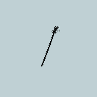 CCCCCCCCC=CCCCCCCCCCCCCCCCCCCCCCCCCOC(=O)C(O)CC(=O)O